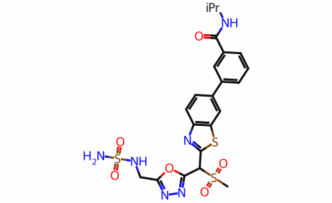 CC(C)NC(=O)c1cccc(-c2ccc3nc(C(c4nnc(CNS(N)(=O)=O)o4)S(C)(=O)=O)sc3c2)c1